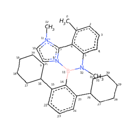 Cc1cccc2c1-c1n(cc[n+]1C)B(c1c(C3CCCCC3)cccc1C1CCCCC1)N2C